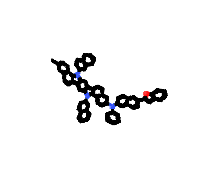 Cc1ccc2c(ccc3c4cc5c(cc4n(-c4ccc6ccccc6c4)c23)c2ccc3cc(N(c4ccccc4)c4ccc6cc(-c7cc8ccccc8o7)ccc6c4)ccc3c2n5-c2ccc3ccccc3c2)c1